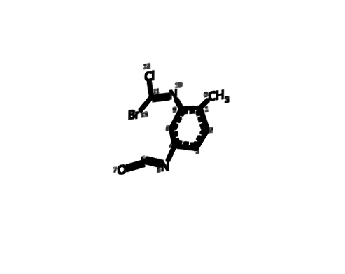 Cc1ccc(N=C=O)cc1/N=C(/Cl)Br